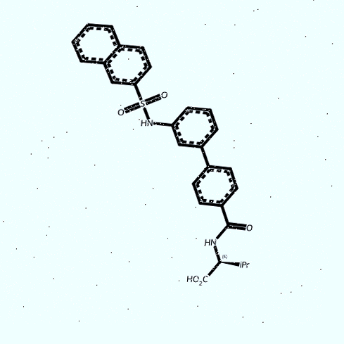 CC(C)[C@H](NC(=O)c1ccc(-c2cccc(NS(=O)(=O)c3ccc4ccccc4c3)c2)cc1)C(=O)O